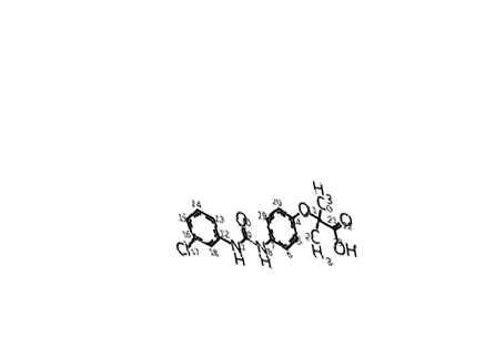 CC(C)(Oc1ccc(NC(=O)Nc2cccc(Cl)c2)cc1)C(=O)O